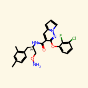 Cc1ccc(C[C@H](CON)NC(=O)c2cc3cccn3nc2Oc2cccc(Cl)c2F)c(C)c1